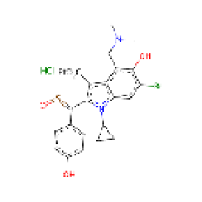 CCOC(=O)c1c(C(=S=O)c2ccc(O)cc2)n(C2CC2)c2cc(Br)c(O)c(CN(C)C)c12.Cl